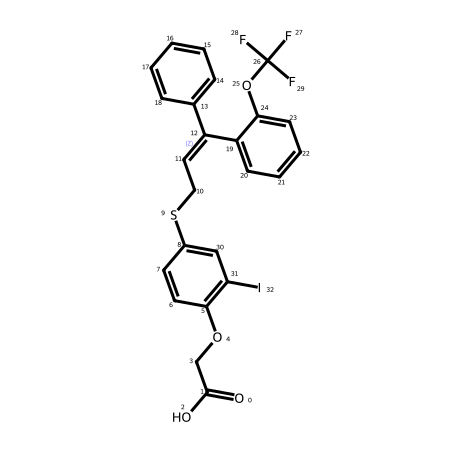 O=C(O)COc1ccc(SC/C=C(/c2ccccc2)c2ccccc2OC(F)(F)F)cc1I